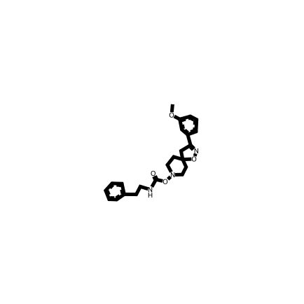 COc1cccc(C2=NOC3(CCN(OC(=O)NCCc4ccccc4)CC3)C2)c1